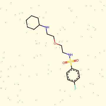 O=S(=O)(NCCOCCNC1CCCCC1)c1ccc(F)cc1